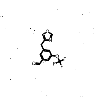 O=Cc1cc(Cc2cocn2)cc(OC(F)(F)F)c1